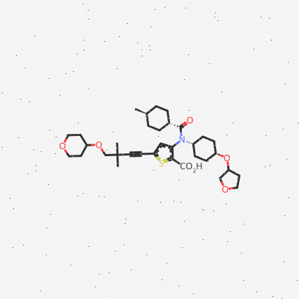 CC(C)(C#Cc1cc(N(C(=O)[C@H]2CC[C@H](C)CC2)[C@H]2CC[C@H](OC3CCOC3)CC2)c(C(=O)O)s1)COC1CCOCC1